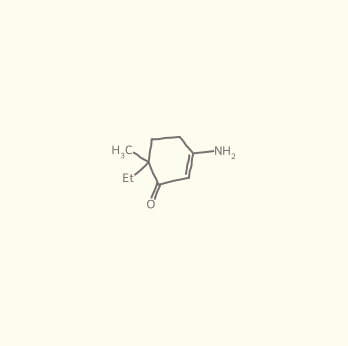 CCC1(C)CCC(N)=CC1=O